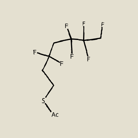 CC(=O)SCCC(F)(F)CC(F)(F)C(F)(F)CF